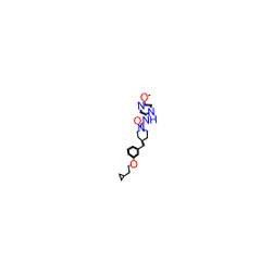 COc1cnc(NC(=O)N2CCC(=Cc3cccc(OCCC4CC4)c3)CC2)cn1